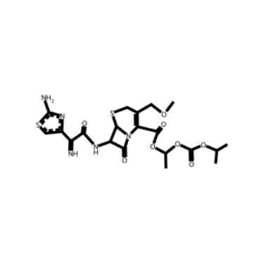 COCC1=C(C(=O)OC(C)OC(=O)OC(C)C)N2C(=O)C(NC(=O)C(=N)c3csc(N)n3)C2SC1